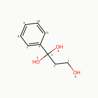 OCCC(O)(O)c1ccccc1